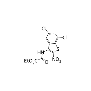 CCOC(=O)C(=O)Nc1c([N+](=O)[O-])sc2c(Cl)cc(Cl)cc12